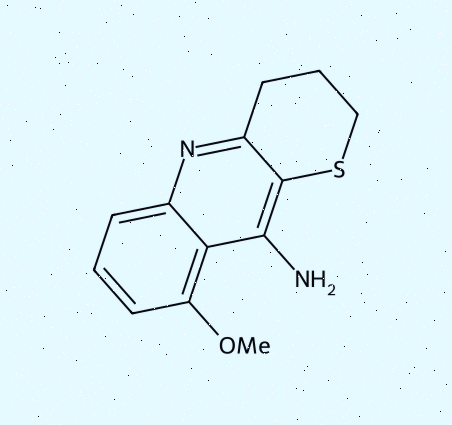 COc1cccc2nc3c(c(N)c12)SCCC3